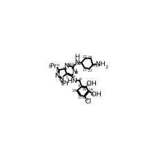 CC(C)c1nn(C(C)C)c2c(NCc3ccc(Cl)c(O)c3O)nc(NC3CCC(N)CC3)nc12